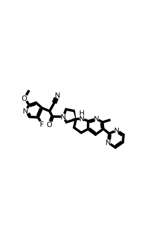 COc1cc(C(C#N)C(=O)N2CC[C@@]3(CCc4cc(-c5ncccn5)c(C)nc4N3)C2)c(F)cn1